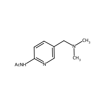 CC(=O)Nc1ccc(CN(C)C)cn1